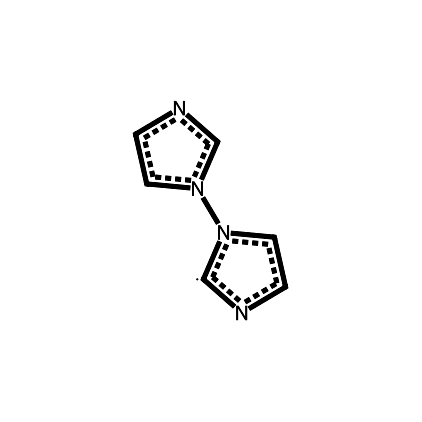 [c]1nccn1-n1ccnc1